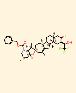 CC1=C2C[C@H]3C(CC[C@@H]4CC(=O)/C(=C(\O)C(F)(F)F)C[C@@]43C)[C@@H]2CC[C@@]2(C1)O[C@@H]1C[C@H](C)CN(C(=O)OCc3ccccc3)[C@H]1[C@H]2C